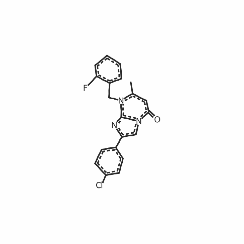 Cc1cc(=O)n2cc(-c3ccc(Cl)cc3)nc2n1Cc1ccccc1F